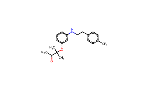 COC(=O)C(C)(C)Oc1cccc(NCCc2ccc(C(F)(F)F)cc2)c1